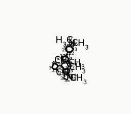 Cc1cccc(C)c1C1=c2cc3c(cc2S(C)(C)c2cc(-c4ccc(N(C)C)cc4)ccc21)=[N+](C)CC3